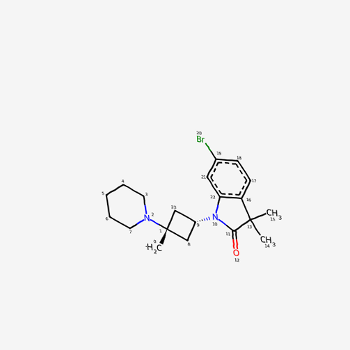 [CH2][C@]1(N2CCCCC2)C[C@@H](N2C(=O)C(C)(C)c3ccc(Br)cc32)C1